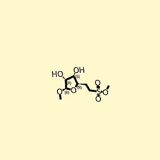 CO[C@@H]1O[C@H](CCS(=O)(=O)OC)[C@@H](O)[C@H]1O